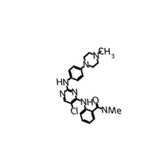 CNC(=O)c1ccccc1Nc1nc(Nc2ccc(N3CCN(C)CC3)cc2)ncc1Cl